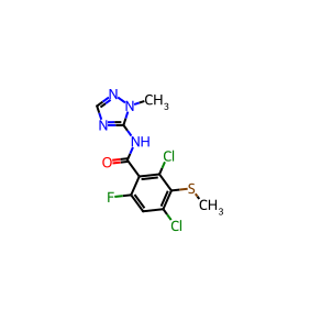 CSc1c(Cl)cc(F)c(C(=O)Nc2ncnn2C)c1Cl